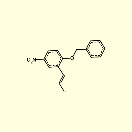 [CH2]/C=C/c1cc([N+](=O)[O-])ccc1OCc1ccccc1